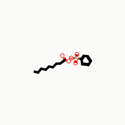 CCCCCCCCC(=O)OOS(=O)(=O)c1ccccc1